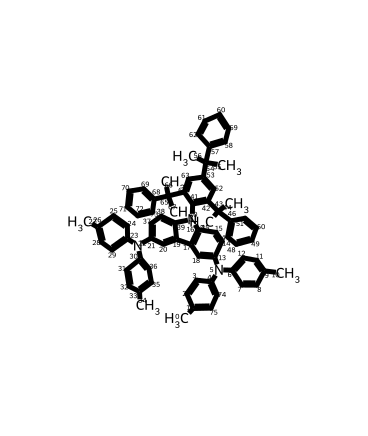 Cc1ccc(N(c2ccc(C)cc2)c2ccc3c(c2)c2cc(N(c4ccc(C)cc4)c4ccc(C)cc4)ccc2n3-c2c(C(C)(C)c3ccccc3)cc(C(C)(C)c3ccccc3)cc2C(C)(C)c2ccccc2)cc1